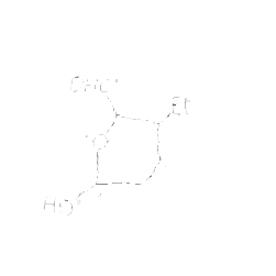 CCC1CCC(O)OC1C=O